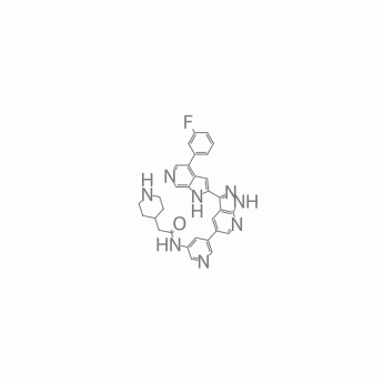 O=C(CC1CCNCC1)Nc1cncc(-c2cnc3[nH]nc(-c4cc5c(-c6cccc(F)c6)cncc5[nH]4)c3c2)c1